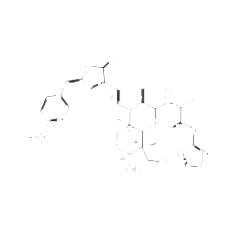 C=C1C(NC(C)C(=O)NC2=NCC=N2)CC2[C@](C)(CC[C@@H](O)[C@@]2(C)CO)C1/C=C/C1=CC(=C\c2ccc(N(C)C)cc2)/OC1=O